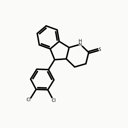 S=C1CCC2C(N1)c1ccccc1C2c1ccc(Cl)c(Cl)c1